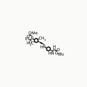 CCC(=O)N(CC(=O)OC)c1cc(C)c(C#CCNc2ccc(C(=N)NC(=O)OC(C)(C)C)cc2)cc1C